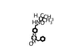 CC(C)(C)OC(=O)NCCc1ccc(N2CCN([C]=O)C(Cc3ccccc3)C2)cc1